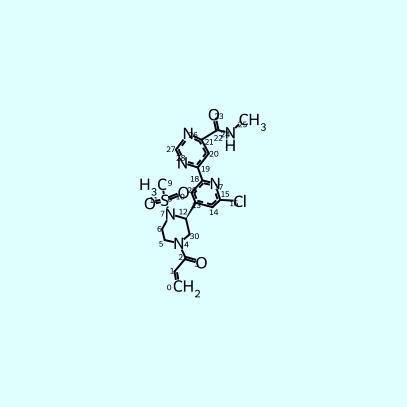 C=CC(=O)N1CCN(S(C)(=O)=O)[C@@H](c2cc(Cl)nc(-c3cc(C(=O)NC)ncn3)c2)C1